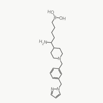 NC(CCCCB(O)O)C1CCN(Cc2cccc(Cn3cccn3)c2)CC1